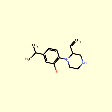 C=CC1CNCCN1c1ccc(C(C)C)cc1Br